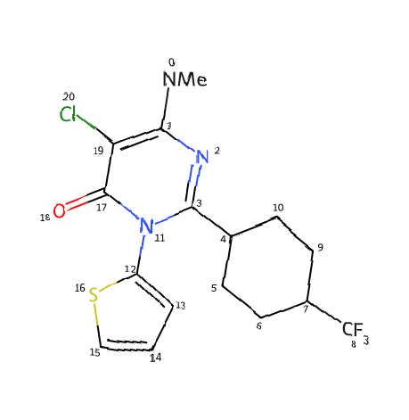 CNc1nc(C2CCC(C(F)(F)F)CC2)n(-c2cccs2)c(=O)c1Cl